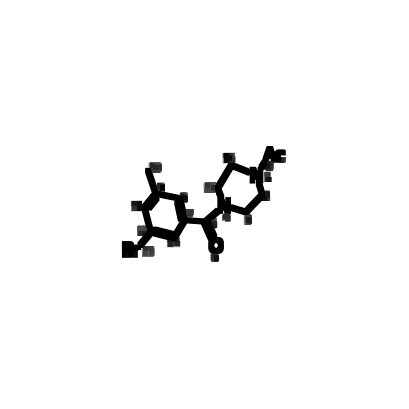 CC(=O)N1CCN(C(=O)c2cc(C)cc(Br)c2)CC1